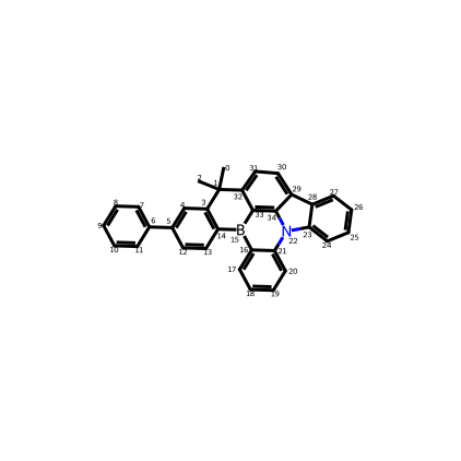 CC1(C)c2cc(-c3ccccc3)ccc2B2c3ccccc3-n3c4ccccc4c4ccc1c2c43